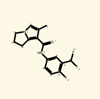 Cc1cn2c(c1C(=O)Nc1ccc(F)c(C(F)F)c1)CCC2